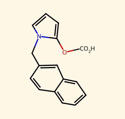 O=C(O)Oc1cccn1Cc1ccc2ccccc2c1